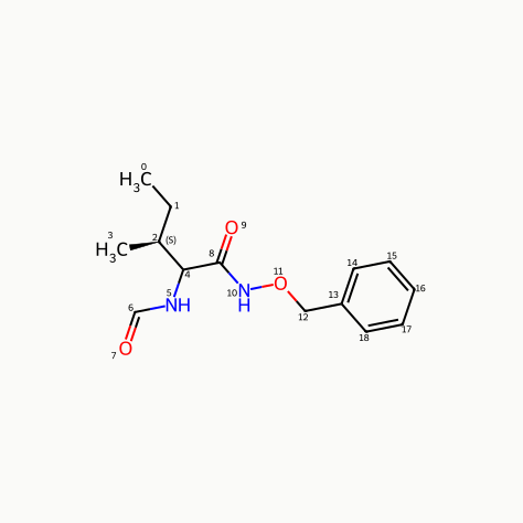 CC[C@H](C)C(NC=O)C(=O)NOCc1ccccc1